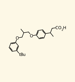 CC(COc1ccc(C(C)CC(=O)O)cc1)COc1cccc(C(C)(C)C)c1